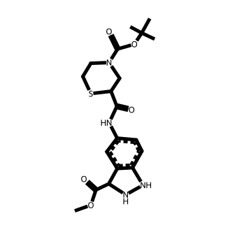 COC(=O)C1NNc2ccc(NC(=O)C3CN(C(=O)OC(C)(C)C)CCS3)cc21